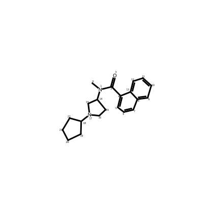 CN(C(=O)c1cccc2ccccc12)C1CCN(C2CCCC2)C1